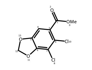 COC(=O)c1cc2c(c(Cl)c1Cl)OCO2